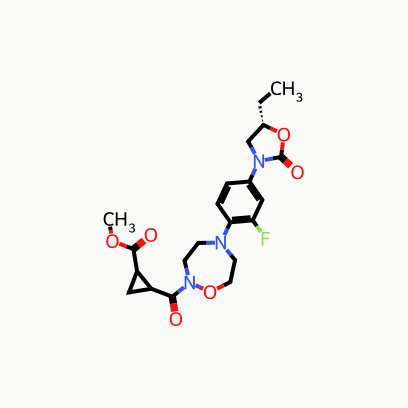 CC[C@H]1CN(c2ccc(N3CCON(C(=O)C4CC4C(=O)OC)CC3)c(F)c2)C(=O)O1